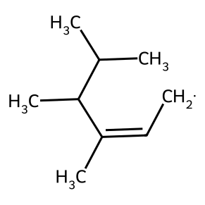 [CH2]C=C(C)C(C)C(C)C